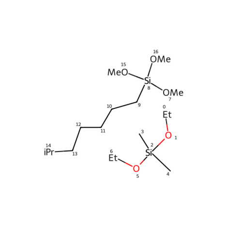 CCO[Si](C)(C)OCC.CO[Si](CCCCCC(C)C)(OC)OC